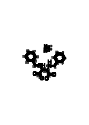 O=C([O-])[C@@H](NCc1ccccc1)[C@@H](NCc1ccccc1)C(=O)[O-].[Na+].[Na+]